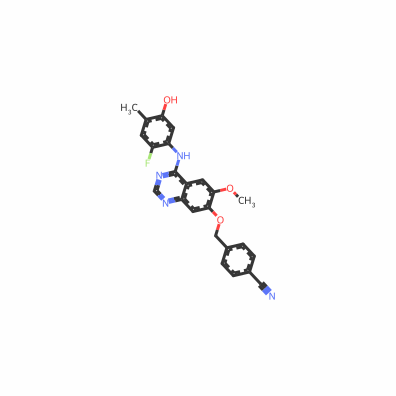 COc1cc2c(Nc3cc(O)c(C)cc3F)ncnc2cc1OCc1ccc(C#N)cc1